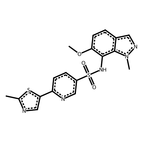 COc1ccc2cnn(C)c2c1NS(=O)(=O)c1ccc(-c2cnc(C)s2)nc1